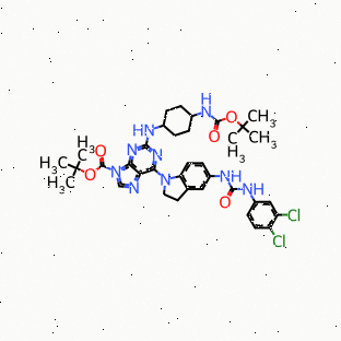 CC(C)(C)OC(=O)NC1CCC(Nc2nc(N3CCc4cc(NC(=O)Nc5ccc(Cl)c(Cl)c5)ccc43)c3ncn(C(=O)OC(C)(C)C)c3n2)CC1